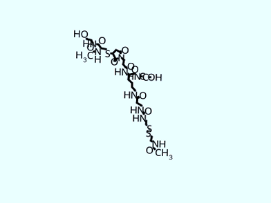 CC(=O)NCCSSCCNC(=O)NCCC(=O)NCCCCC(NC(=O)CCN1C(=O)CC(SCC(NC(C)=O)C(=O)NCCO)C1=O)C(=O)NCCO